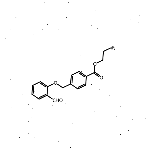 CC(C)CCOC(=O)c1ccc(COc2ccccc2C=O)cc1